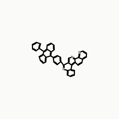 c1ccc(-c2c3ccccc3c(-c3ccc(-c4nc5ccccc5c5c4cnc4c5ccc5cccnc54)cc3)c3ccccc23)cc1